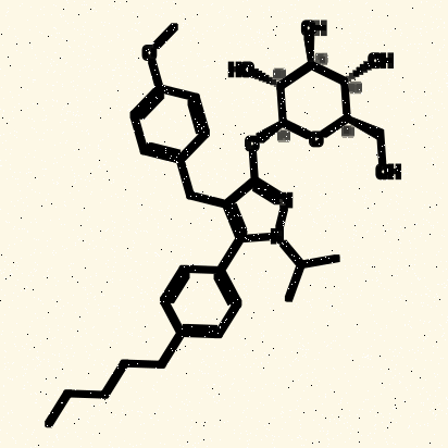 CCCCCc1ccc(-c2c(Cc3ccc(OC)cc3)c(O[C@@H]3O[C@H](CO)[C@@H](O)[C@H](O)[C@H]3O)nn2C(C)C)cc1